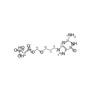 Nc1nc2c(ncn2CCCOCO/[P+]([O-])=C/P(=O)(O)O)c(=O)[nH]1